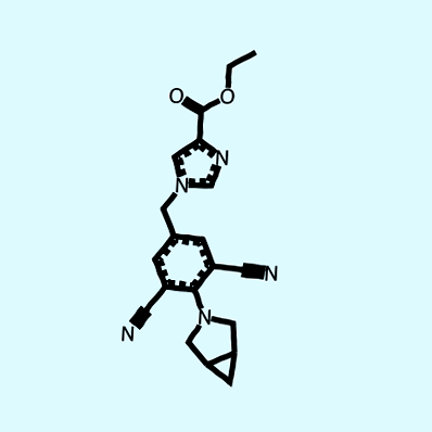 CCOC(=O)c1cn(Cc2cc(C#N)c(N3CC4CC4C3)c(C#N)c2)cn1